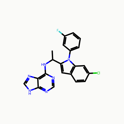 CC(Nc1ncnc2[nH]cnc12)c1cc2ccc(Cl)cc2n1-c1cccc(F)c1